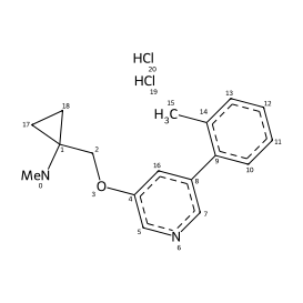 CNC1(COc2cncc(-c3ccccc3C)c2)CC1.Cl.Cl